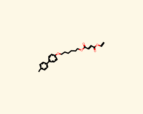 C=COC(=O)/C=C/C(=O)OCCCCCCOc1ccc(-c2ccc(C)cc2)cc1